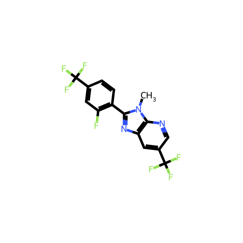 Cn1c(-c2ccc(C(F)(F)F)cc2F)nc2cc(C(F)(F)F)cnc21